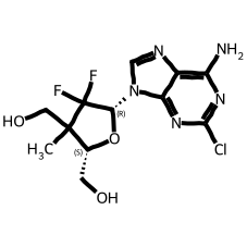 CC1(CO)[C@@H](CO)O[C@@H](n2cnc3c(N)nc(Cl)nc32)C1(F)F